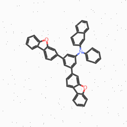 c1ccc(N(c2cc(-c3ccc4c(c3)oc3ccccc34)cc(-c3ccc4c(c3)oc3ccccc34)c2)c2ccc3ccccc3c2)cc1